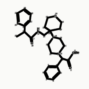 COC(=O)C(c1ccccc1)N1CCN(C2(CNC(=O)C(C)c3ccccn3)CCOCC2)CC1